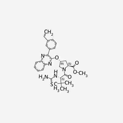 C=Cc1cccc(-c2nc3ccccc3nc2O[C@@H]2C[C@@H](C(=O)OC)N(C(=O)[C@@H](NC(N)=S)C(C)(C)C)C2)c1